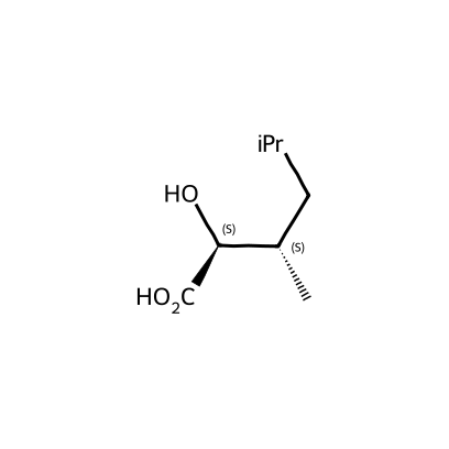 CC(C)C[C@H](C)[C@H](O)C(=O)O